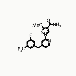 COc1nn(-c2cc(Cc3cc(F)cc(C(F)(F)F)c3)ccn2)cc1C(N)=O